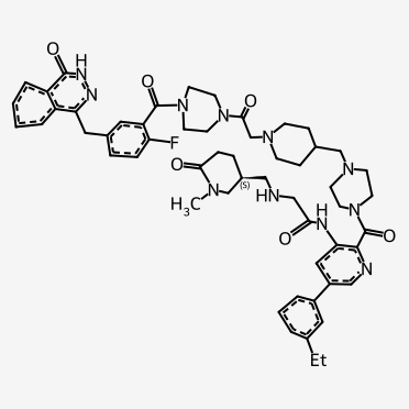 CCc1cccc(-c2cnc(C(=O)N3CCN(CC4CCN(CC(=O)N5CCN(C(=O)c6cc(Cc7n[nH]c(=O)c8ccccc78)ccc6F)CC5)CC4)CC3)c(NC(=O)CNC[C@@H]3CCC(=O)N(C)C3)c2)c1